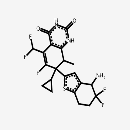 CC1c2[nH]c(=O)[nH]c(=O)c2C(C(F)F)=C(F)C1(c1cc2c(s1)CCC(F)(F)C2N)C1CC1